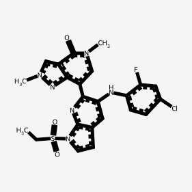 CCS(=O)(=O)n1ccc2cc(Nc3ccc(Cl)cc3F)c(-c3cn(C)c(=O)c4cn(C)nc34)nc21